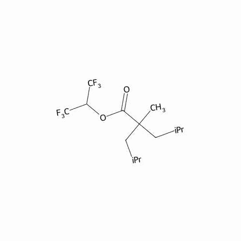 CC(C)CC(C)(CC(C)C)C(=O)OC(C(F)(F)F)C(F)(F)F